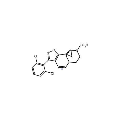 O=C(O)N1CCC(/C=C\c2c(-c3c(Cl)cccc3Cl)noc2C2CC2)CC1